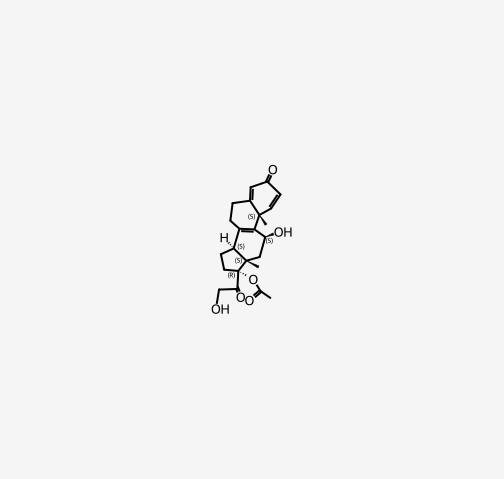 CC(=O)O[C@]1(C(=O)CO)CC[C@H]2C3=C([C@@H](O)C[C@@]21C)[C@@]1(C)C=CC(=O)C=C1CC3